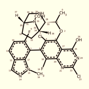 CC(Oc1c(Cl)c(-c2c(F)ccc3cnn(C)c23)c(F)c2nc(Cl)nc(O)c12)[C@H]1NC[C@H]2CC[C@@H]1N2C(=O)O